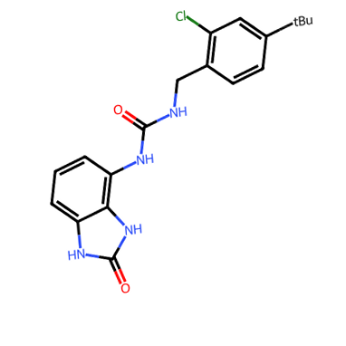 CC(C)(C)c1ccc(CNC(=O)Nc2cccc3[nH]c(=O)[nH]c23)c(Cl)c1